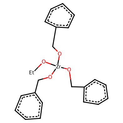 CC[O][Zr]([O]Cc1ccccc1)([O]Cc1ccccc1)[O]Cc1ccccc1